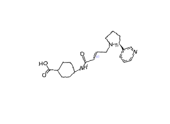 O=C(/C=C/CN1CCC[C@H]1c1cccnc1)NC1CCC(C(=O)O)CC1